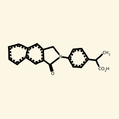 CC(C(=O)O)c1ccc(N2Cc3cc4ccccc4cc3C2=O)cc1